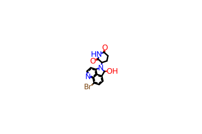 O=C1CCC(N2c3ccnc4c(Br)ccc(c34)C2O)C(=O)N1